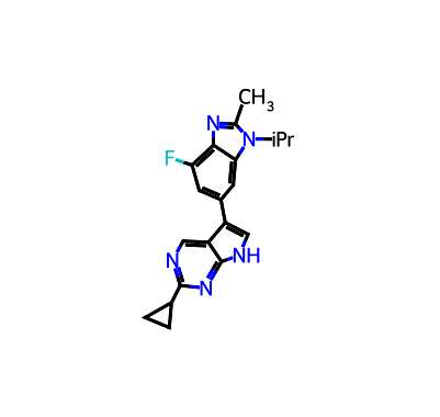 Cc1nc2c(F)cc(-c3c[nH]c4nc(C5CC5)ncc34)cc2n1C(C)C